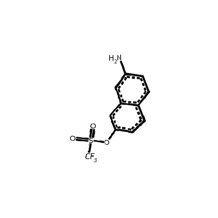 Nc1ccc2ccc(OS(=O)(=O)C(F)(F)F)cc2c1